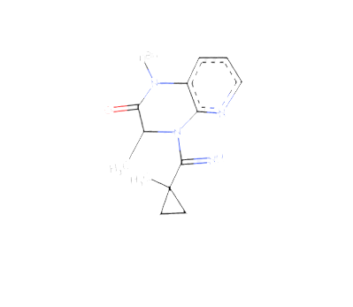 CCCCN1C(=O)C(C)N(C(=N)C2(C)CC2)c2ncccc21